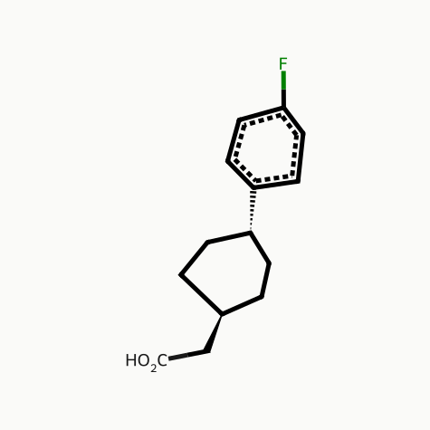 O=C(O)C[C@H]1CC[C@H](c2ccc(F)cc2)CC1